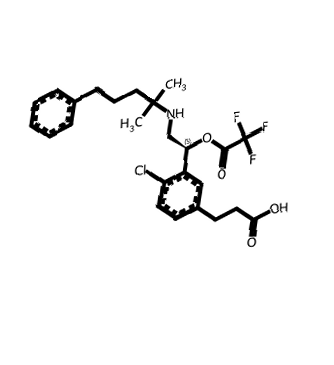 CC(C)(CCCc1ccccc1)NC[C@@H](OC(=O)C(F)(F)F)c1cc(CCC(=O)O)ccc1Cl